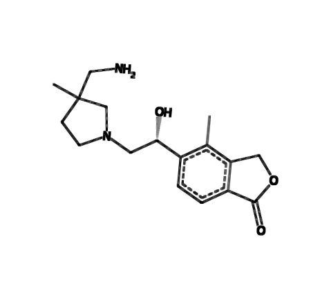 Cc1c([C@@H](O)CN2CCC(C)(CN)C2)ccc2c1COC2=O